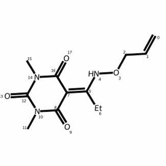 C=CCONC(CC)=C1C(=O)N(C)C(=O)N(C)C1=O